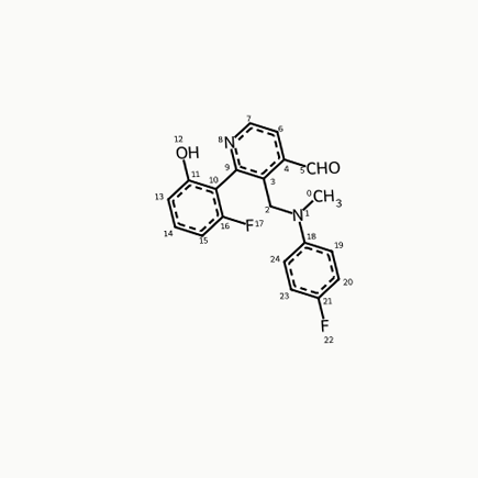 CN(Cc1c(C=O)ccnc1-c1c(O)cccc1F)c1ccc(F)cc1